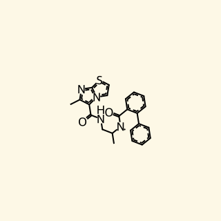 Cc1nc2sccn2c1C(=O)NCC(C)N(C)C(=O)c1ccccc1-c1ccccc1